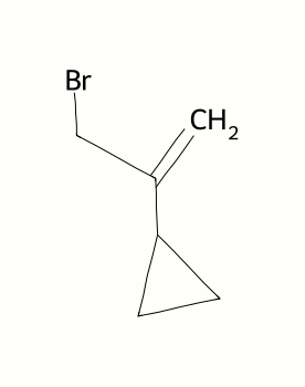 C=C(CBr)C1CC1